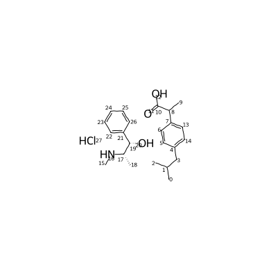 CC(C)Cc1ccc(C(C)C(=O)O)cc1.CN[C@@H](C)[C@@H](O)c1ccccc1.Cl